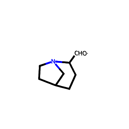 O=[C]C1CCC2CCN1C2